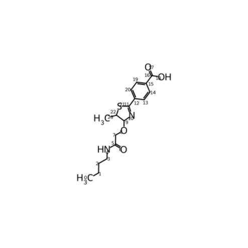 CCCCNC(=O)COC1N=C(c2ccc(C(=O)O)cc2)SC1C